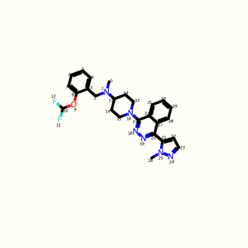 CN(Cc1ccccc1OC(F)F)C1CCN(c2nnc(-c3ccnn3C)c3ccccc23)CC1